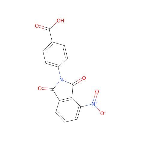 O=C(O)c1ccc(N2C(=O)c3cccc([N+](=O)[O-])c3C2=O)cc1